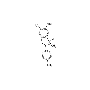 CCCCc1cc2c(cc1C)CC(c1ccc(C)cc1)[C@@]2(C)I